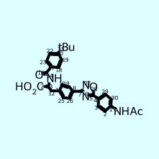 CC(=O)Nc1ccc(-c2nc(-c3ccc(CC(NC(=O)c4ccc(C(C)(C)C)cc4)C(=O)O)cc3)no2)cc1